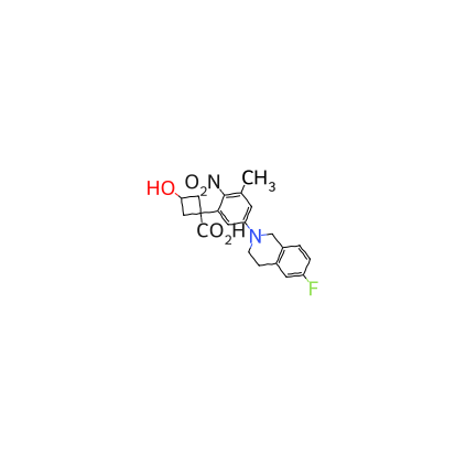 Cc1cc(N2CCc3cc(F)ccc3C2)cc(C2(C(=O)O)CC(O)C2)c1[N+](=O)[O-]